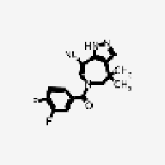 CC1(C)CN(C(=O)c2ccc(F)c(F)c2)C=C(C#N)c2[nH]ncc21